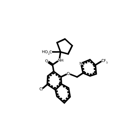 O=C(NC1(C(=O)O)CCCC1)c1cc(Cl)c2ccccc2c1OCc1ccc(C(F)(F)F)cn1